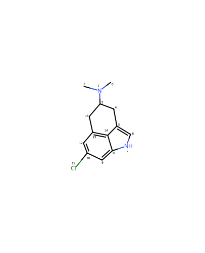 CN(C)C1Cc2c[nH]c3cc(Cl)cc(c23)C1